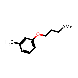 CSCCCOc1cccc(C)c1